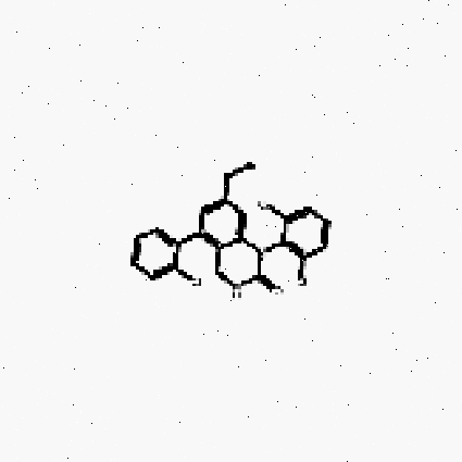 O=C1NCc2c(-c3ccccc3Cl)cc(CBr)cc2N1c1c(Cl)cccc1Cl